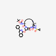 CC(C)(C)OC(=O)N[C@H]1CCCCC/C=C\[C@@H]2C[C@@]2(C(=O)N[S+]([O-])C2CC2)NC(=O)[C@@H]2C[C@@H](Oc3nc(-c4ccccc4)cc4ccccc34)CN2C1=O